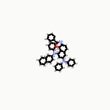 c1ccc(-c2nc3ccc4cc(N(c5ccccc5)c5ccccc5)cc(N(c5ccccc5)c5ccc6ccccc6c5)c4c3o2)cc1